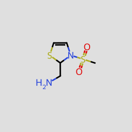 CS(=O)(=O)N1C=CSC1CN